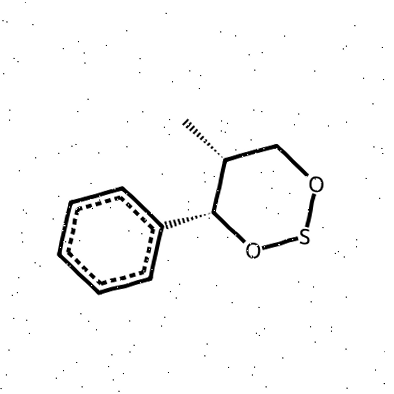 C[C@@H]1COSO[C@@H]1c1ccccc1